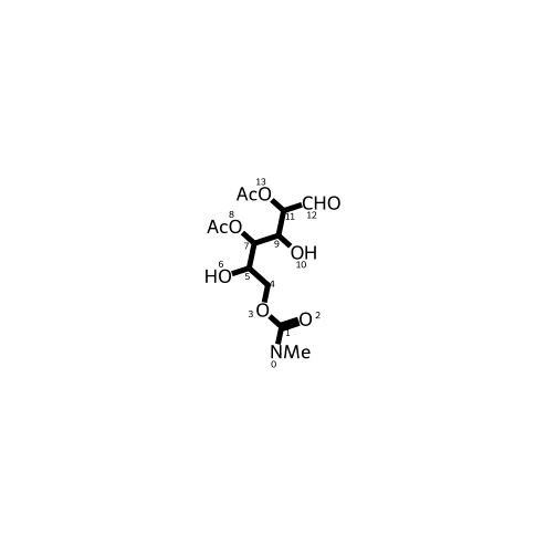 CNC(=O)OCC(O)C(OC(C)=O)C(O)C(C=O)OC(C)=O